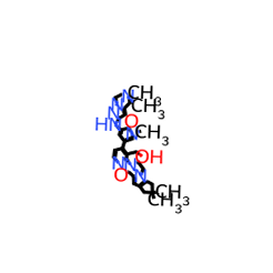 C[C@@H]1c2cc(Nc3cc(-c4ccnc(N5CCn6c(cc7c6CC(C)(C)C7)C5=O)c4CO)cn(C)c3=O)nn2CCN1C